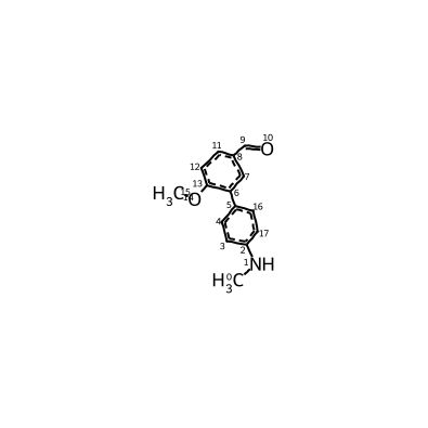 CNc1ccc(-c2cc(C=O)ccc2OC)cc1